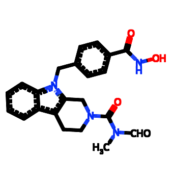 CN(C=O)C(=O)N1CCc2c(n(Cc3ccc(C(=O)NO)cc3)c3ccccc23)C1